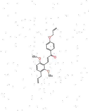 C=CCOc1ccc(C(=O)C=Cc2c(OC(C)(C)C)ccc(CC=C)c2OC(C)(C)C)cc1